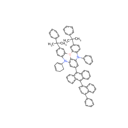 CC(C)(c1ccccc1)c1ccc2c(c1)B1c3cc(C(C)(C)c4ccccc4)ccc3N(c3ccccc3)c3cc(-c4c5ccccc5c(-c5ccc(-c6ccccc6)c6ccccc56)c5ccccc45)cc(c31)N2C1=CC=CCC1